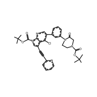 CC(C)(C)OC(=O)N1CCN(c2cccc(-c3cnc4c(c(C#Cc5ccccn5)cn4C(=O)OC(C)(C)C)c3Cl)c2)C(=O)C1